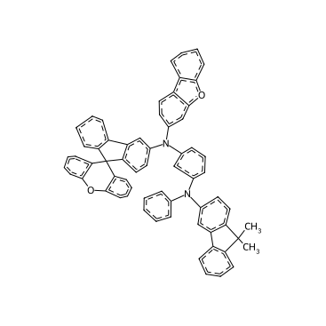 CC1(C)c2ccccc2-c2cc(N(c3ccccc3)c3cccc(N(c4ccc5c(c4)-c4ccccc4C54c5ccccc5Oc5ccccc54)c4ccc5c(c4)oc4ccccc45)c3)ccc21